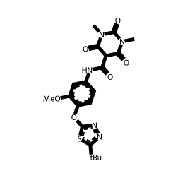 COc1cc(NC(=O)C2C(=O)N(C)C(=O)N(C)C2=O)ccc1Oc1nnc(C(C)(C)C)s1